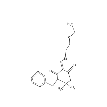 CCOCCNC=C1C(=O)CC(C)(C)C(Cc2ccccc2)C1=O